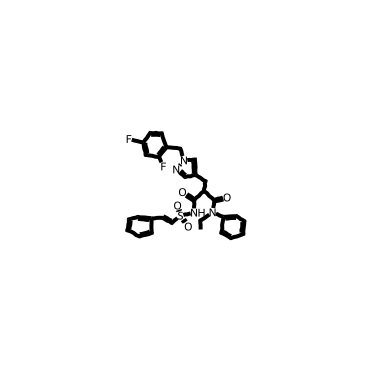 CCN(C(=O)C(Cc1cnn(Cc2ccc(F)cc2F)c1)C(=O)NS(=O)(=O)C=Cc1ccccc1)c1ccccc1